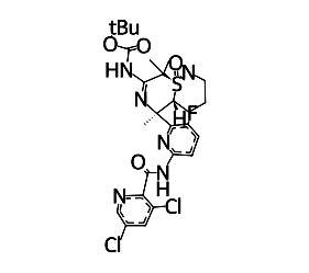 CC(C)(C)OC(=O)NC1=N[C@](C)(c2nc(NC(=O)c3ncc(Cl)cc3Cl)ccc2F)[C@H]2CCCN=[S@]2(=O)C1(C)C